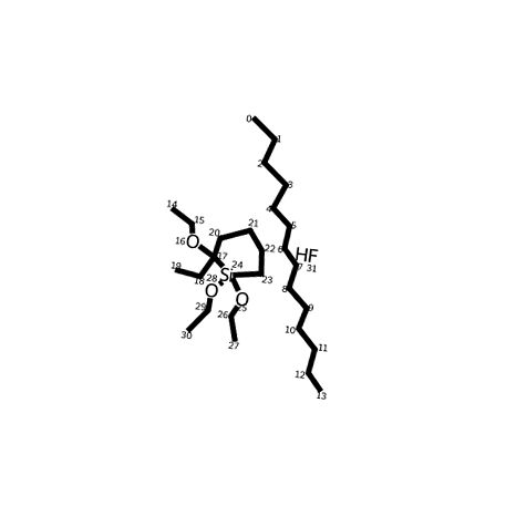 CCCCCCCCCCCCCC.CCOC1(CC)CCCC[Si]1(OCC)OCC.F